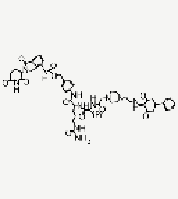 CC(C)[C@H](NC(=O)CN1CCN(CCNC=C2C(=O)CC(c3ccccc3)CC2=O)CC1)C(=O)N[C@@H](CCCNC(N)=O)C(=O)Nc1ccc(COC(=O)Nc2cccc3c2CN(C2CCC(=O)NC2=O)C3=O)cc1